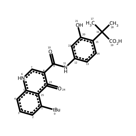 CC(C)(C)c1cccc2[nH]cc(C(=O)Nc3ccc(C(C)(C)C(=O)O)c(O)c3)c(=O)c12